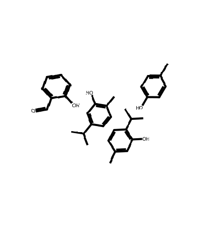 Cc1ccc(C(C)C)c(O)c1.Cc1ccc(C(C)C)cc1O.Cc1ccc(O)cc1.O=Cc1ccccc1O